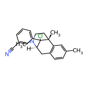 Cc1ccc2c(c1)[C@@]1(C)CCN(C)[C@H](C2)C1(Cl)c1cccc(C#N)c1